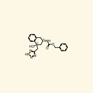 O=C(N[C@@H]1Cc2ccccc2[C@@](O)(Cc2nn[nH]n2)C1)OCc1ccccc1